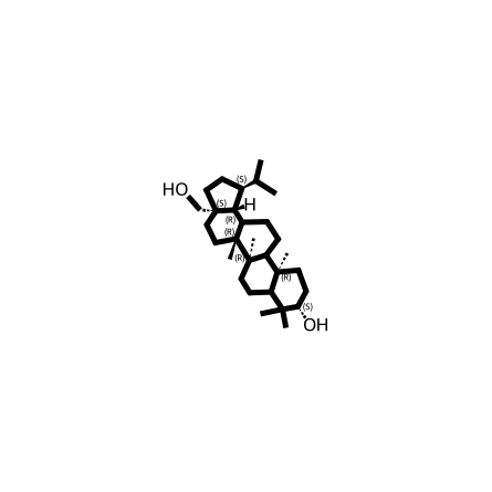 CC(C)[C@@H]1CC[C@]2(CO)CC[C@]3(C)C(CCC4[C@@]5(C)CC[C@H](O)C(C)(C)C5CC[C@]43C)[C@@H]12